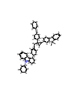 CC1(C)c2ccccc2-c2ccc(C3CC3(Cc3ccc(-c4cccc5c4c4ccccc4n5-c4ccccc4)cc3)c3ccc(-c4ccccc4)cc3)cc21